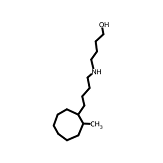 CC1CCCCCCC1CCCCNCCCCO